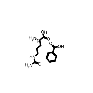 NC(=O)NCCC[C@H](N)C(=O)O.O=C(O)c1ccccc1